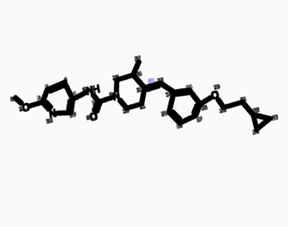 COc1ccc(NC(=O)N2CC/C(=C\c3cccc(OCCC4CC4)c3)C(C)C2)cn1